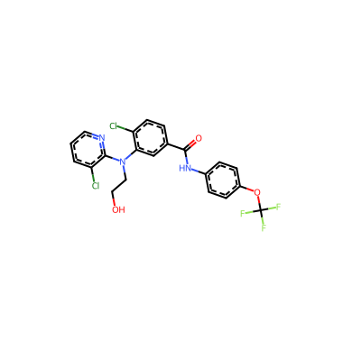 O=C(Nc1ccc(OC(F)(F)F)cc1)c1ccc(Cl)c(N(CCO)c2ncccc2Cl)c1